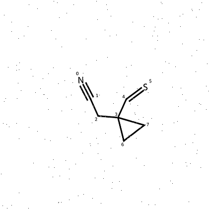 N#CCC1(C=S)CC1